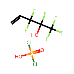 C=CC(F)(F)C(O)(F)C(F)(F)F.O=P(O)(Cl)Cl